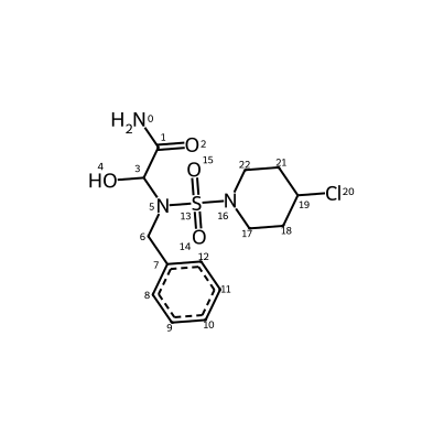 NC(=O)C(O)N(Cc1ccccc1)S(=O)(=O)N1CCC(Cl)CC1